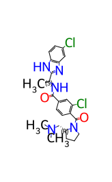 C[C@H](NC(=O)c1ccc(C(=O)N2CCC[C@@H]2CN(C)C)c(Cl)c1)c1nc2cc(Cl)ccc2[nH]1